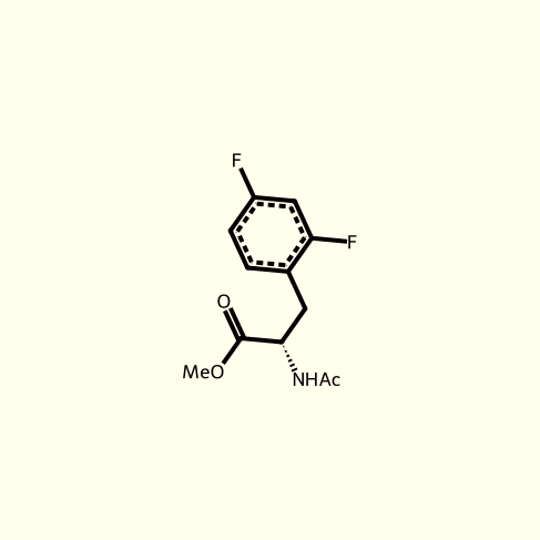 COC(=O)[C@H](Cc1ccc(F)cc1F)NC(C)=O